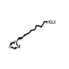 CCCCCCCCCCCCCCC/C=C/n1cncn1